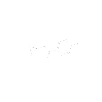 O=C(CC1CC1)c1ccc(F)cc1